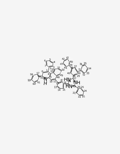 C1=C(c2ccccc2)c2c(cc(-c3cccc(C4NC(c5ccccc5)NC(c5cc(-c6ccccc6)cc(-c6ccccc6)c5)N4)c3)c3ccccc23)NC1c1ccccc1